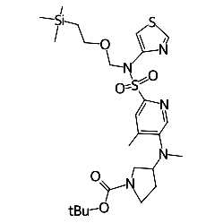 Cc1cc(S(=O)(=O)N(COCC[Si](C)(C)C)c2cscn2)ncc1N(C)C1CCN(C(=O)OC(C)(C)C)C1